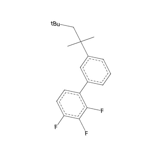 CC(C)(C)CC(C)(C)c1cccc(-c2ccc(F)c(F)c2F)c1